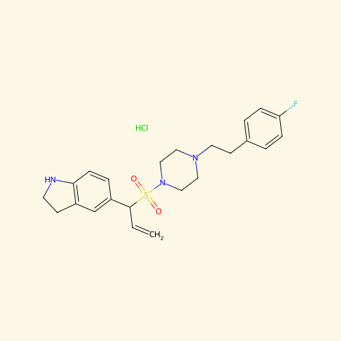 C=CC(c1ccc2c(c1)CCN2)S(=O)(=O)N1CCN(CCc2ccc(F)cc2)CC1.Cl